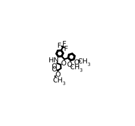 CCOC(=O)CC1OC(c2cccc(OC)c2OC)c2cc(C(F)(F)F)ccc2NC1=O